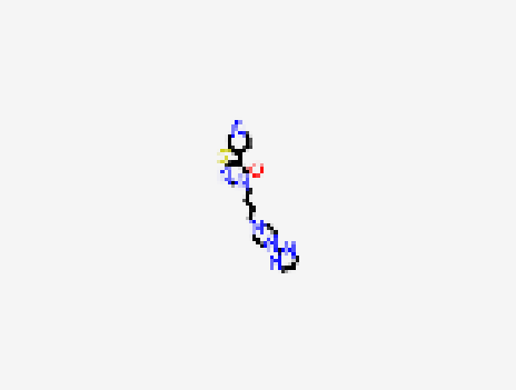 CN1CCc2c(sc3ncn(CCCCN4CCN(c5ncccn5)CC4)c(=O)c23)C1